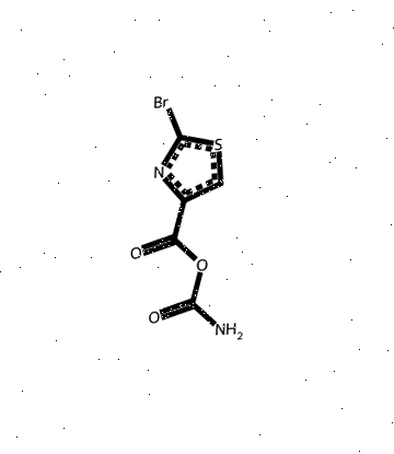 NC(=O)OC(=O)c1csc(Br)n1